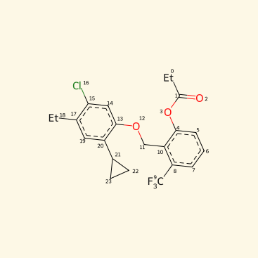 CCC(=O)Oc1cccc(C(F)(F)F)c1COc1cc(Cl)c(CC)cc1C1CC1